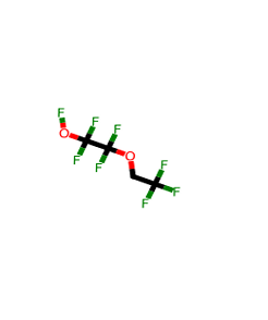 FOC(F)(F)C(F)(F)OCC(F)(F)F